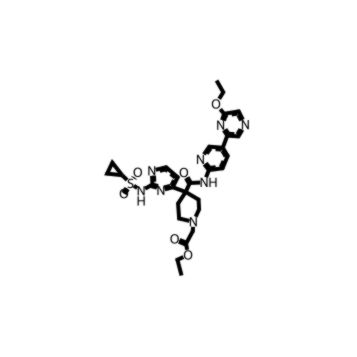 CCOC(=O)CN1CCC(C(=O)Nc2ccc(-c3cncc(OCC)n3)cn2)(c2ccnc(NS(=O)(=O)C3CC3)n2)CC1